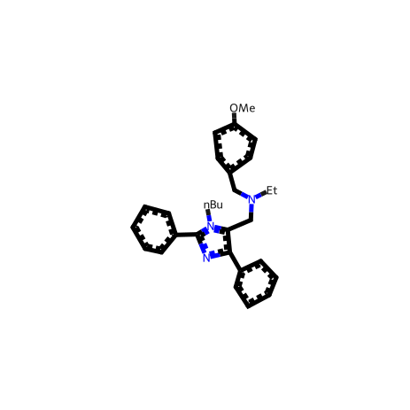 CCCCn1c(-c2ccccc2)nc(-c2ccccc2)c1CN(CC)Cc1ccc(OC)cc1